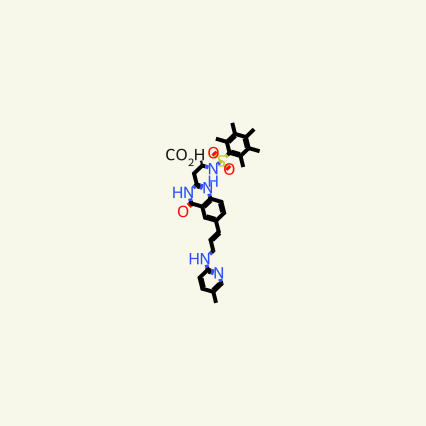 Cc1ccc(NCC=Cc2ccc3nc(C[C@H](NS(=O)(=O)c4c(C)c(C)c(C)c(C)c4C)C(=O)O)[nH]c(=O)c3c2)nc1